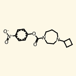 O=C(Oc1ccc([N+](=O)[O-])cc1)N1CCCN(C2CCC2)CC1